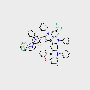 Cc1cc2c3c(c1)N(c1ccccc1)c1cc4c(cc1B3c1ccccc1O2)B1c2cc3c(cc2N(c2ccccc2)c2cc(S(F)(F)(F)(F)F)cc(c21)N4c1ccccc1)N(c1ccccc1)c1cc(S(F)(F)(F)(F)F)cc2c1B3c1ccccc1N2c1ccccc1